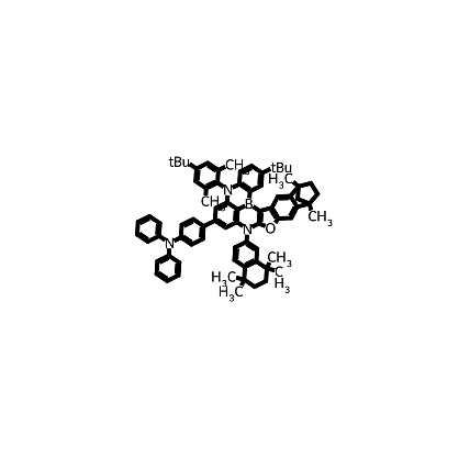 Cc1cc(C(C)(C)C)cc(C)c1N1c2ccc(C(C)(C)C)cc2B2c3c(cc(-c4ccc(N(c5ccccc5)c5ccccc5)cc4)cc31)N(c1ccc3c(c1)C(C)(C)CCC3(C)C)c1oc3cc4c(cc3c12)C1(C)CCC4(C)C1